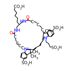 CC1(C)C2=[N+](CCCCCC(=O)NCC(CCCCCC(=O)O)CNC(=O)CCCCCC3(C)/C(=C/C=C/C=C/2)N(CCCS(=O)(=O)O)c2ccc(S(=O)(=O)O)cc23)c2ccc(S(=O)(=O)O)cc21